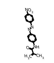 C=C(C)C(=O)Nc1ccc(N=Nc2ccc([N+](=O)[O-])cc2)cc1